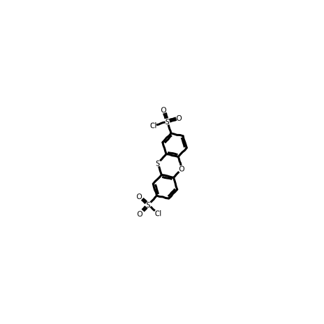 O=S(=O)(Cl)c1ccc2c(c1)Sc1cc(S(=O)(=O)Cl)ccc1O2